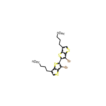 CCCCCCCCCCCCCc1csc2c(Br)c(-c3sc4c(CCCCCCCCCCCCC)csc4c3Br)sc12